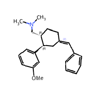 COc1cccc([C@@H]2C/C(=C\c3ccccc3)CC[C@H]2CN(C)C)c1